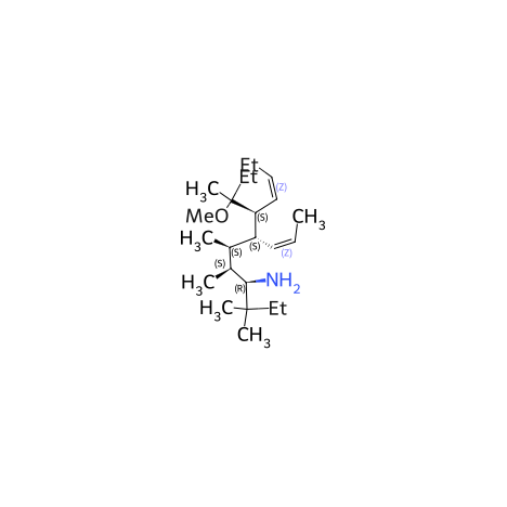 C/C=C\[C@H]([C@H](C)[C@H](C)[C@@H](N)C(C)(C)CC)[C@H](/C=C\CC)C(C)(CC)OC